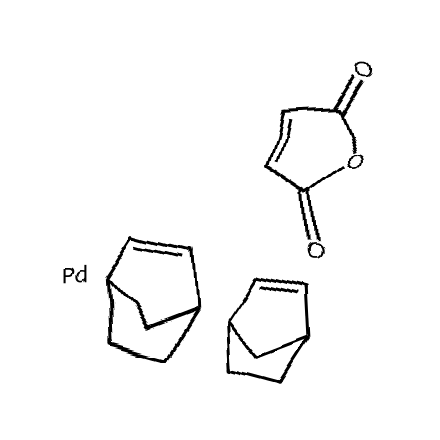 C1=CC2CCC1C2.C1=CC2CCC1C2.O=C1C=CC(=O)O1.[Pd]